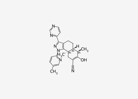 Cc1ccc(-n2nc(-c3ccncn3)c3c2[C@]2(C)CC(C#N)=C(O)[C@H](C)[C@H]2CC3)nc1